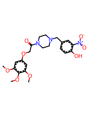 COc1cc(OCC(=O)N2CCN(Cc3ccc(O)c([N+](=O)[O-])c3)CC2)cc(OC)c1OC